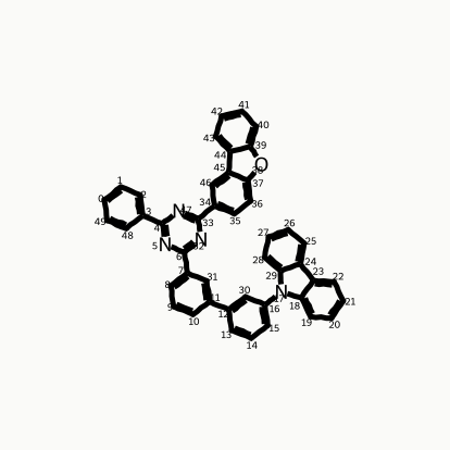 c1ccc(-c2nc(-c3cccc(-c4cccc(-n5c6ccccc6c6ccccc65)c4)c3)nc(-c3ccc4oc5ccccc5c4c3)n2)cc1